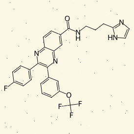 O=C(NCCCc1ncc[nH]1)c1ccc2nc(-c3ccc(F)cc3)c(-c3cccc(OC(F)(F)F)c3)nc2c1